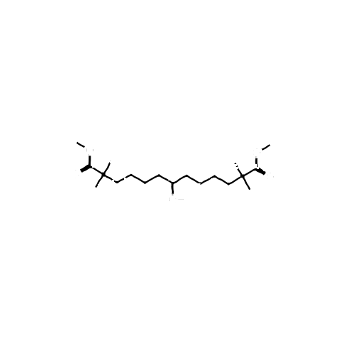 COC(=O)C(C)(C)CCCCC(O)CCCCC(C)(C)C(=O)OC